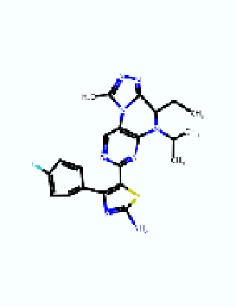 CCC1c2nnc(C)n2-c2cnc(-c3sc(N)nc3-c3ccc(F)cc3)nc2N1C(C)C